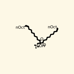 CCCCCCCC/C=C\CCCCCCCC(=O)C(O)(C[N+](C)(C)C)C(=O)CCCCCCC/C=C\CCCCCCCC